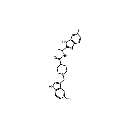 Cc1ccc2nc(C(C)NC(=O)C3CCN(Cc4c[nH]c5ccc(Cl)cc45)CC3)[nH]c2c1